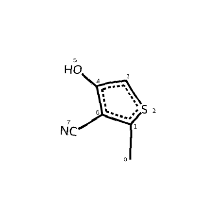 Cc1scc(O)c1C#N